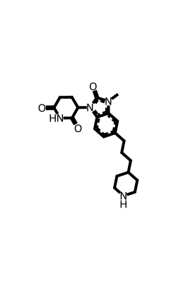 Cn1c(=O)n(C2CCC(=O)NC2=O)c2ccc(CCCC3CCNCC3)cc21